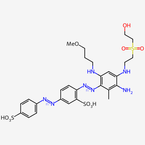 COCCCNc1cc(NCCS(=O)(=O)CCO)c(N)c(C)c1/N=N/c1ccc(/N=N/c2ccc(S(=O)(=O)O)cc2)cc1S(=O)(=O)O